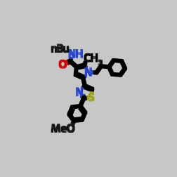 CCCCNC(=O)c1cc(-c2csc(-c3ccc(OC)cc3)n2)n(CCC2CCCCC2)c1C